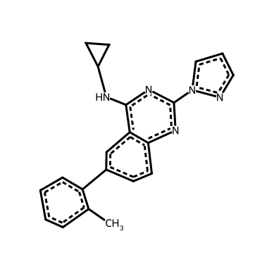 Cc1ccccc1-c1ccc2nc(-n3cccn3)nc(NC3CC3)c2c1